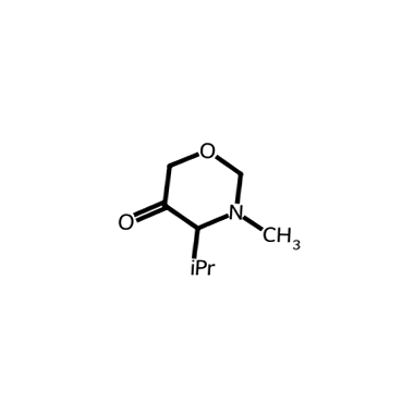 CC(C)C1C(=O)COCN1C